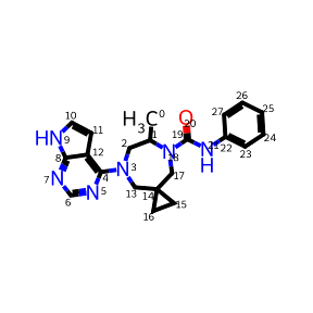 CC1CN(c2ncnc3[nH]ccc23)CC2(CC2)CN1C(=O)Nc1ccccc1